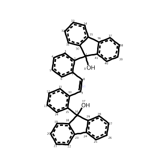 OC1(c2ccccc2/C=C\c2ccccc2C2(O)c3ccccc3-c3ccccc32)c2ccccc2-c2ccccc21